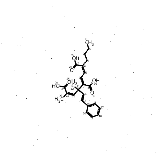 CCCCC(=CC=C(C(=O)O)C(C)(C=Cc1ccccc1)C=C(C)C(=O)O)C(=O)O